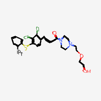 CC(C)c1ccccc1Sc1ccc(C=CC(=O)N2CCN(CCOCCO)CC2)c(Cl)c1Cl